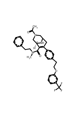 CC(=O)N1CC2CC(c3ccc(CCOc4cccc(C(F)(F)F)c4)cc3)=C(C(=O)N(C)CCc3ccccc3)[C@@H](C1)N2